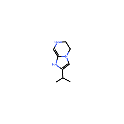 CC(C)C1=CN2CCNC=C2N1